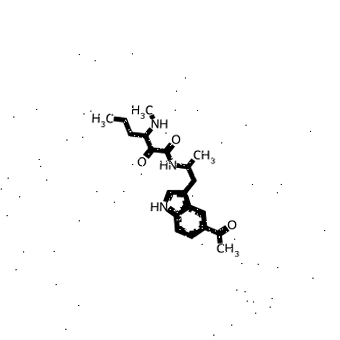 CCCC(NC)C(=O)C(=O)NC(C)Cc1c[nH]c2ccc(C(C)=O)cc12